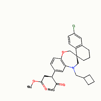 COC(=O)[C@@H](CC(=O)OC(C)(C)C)c1ccc2c(c1)N(CC1CCC1)C[C@@]1(CCCc3cc(Cl)ccc31)CO2